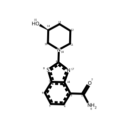 NC(=O)c1[c]ccc2sc(N3CCC[C@H](O)C3)nc12